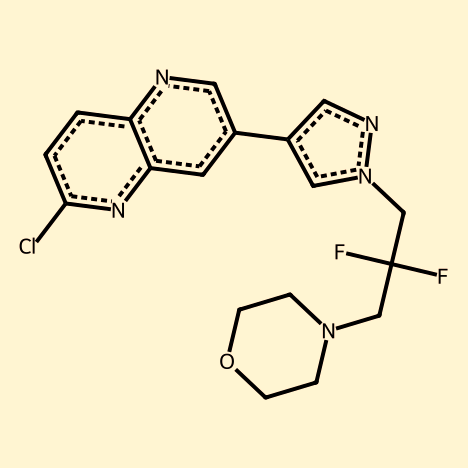 FC(F)(CN1CCOCC1)Cn1cc(-c2cnc3ccc(Cl)nc3c2)cn1